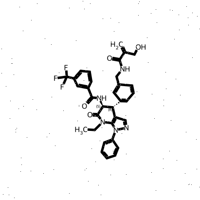 C=C(CO)C(=O)NCc1cccc([C@@H]2c3cnn(-c4ccccc4)c3N(CC)C(=O)[C@H]2NC(=O)c2cccc(C(F)(F)F)c2)c1